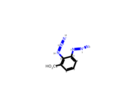 [N-]=[N+]=Nc1cccc(C(=O)O)c1N=[N+]=[N-]